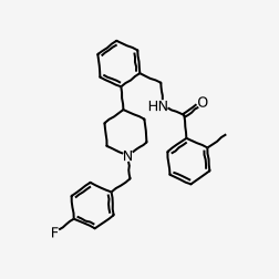 Cc1ccccc1C(=O)NCc1ccccc1C1CCN(Cc2ccc(F)cc2)CC1